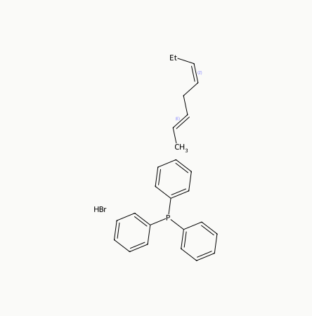 Br.C/C=C/C/C=C\CC.c1ccc(P(c2ccccc2)c2ccccc2)cc1